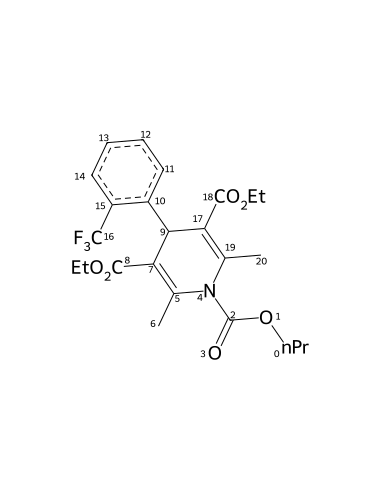 CCCOC(=O)N1C(C)=C(C(=O)OCC)C(c2ccccc2C(F)(F)F)C(C(=O)OCC)=C1C